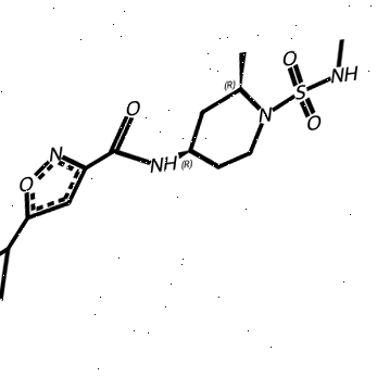 CNS(=O)(=O)N1CC[C@@H](NC(=O)c2cc(C3CC3)on2)C[C@H]1C